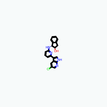 O[C@@H]1Cc2ccccc2[C@H]1Nc1cccc(-c2c[nH]c3ncc(Cl)cc23)n1